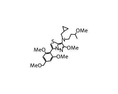 COCc1cc(OC)c(-c2csc3c(N(CCC(C)OC)CC4CC4)c(OC)nn23)c(OC)c1